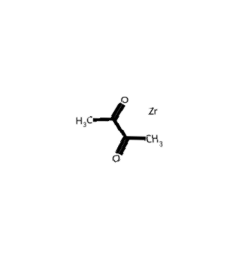 CC(=O)C(C)=O.[Zr]